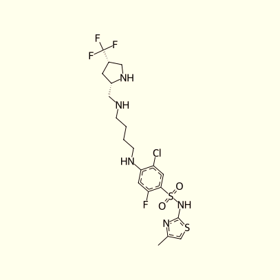 Cc1csc(NS(=O)(=O)c2cc(Cl)c(NCCCCNC[C@@H]3C[C@H](C(F)(F)F)CN3)cc2F)n1